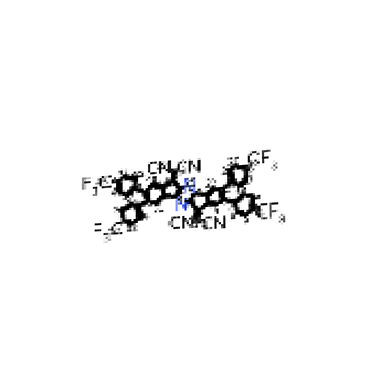 [C-]#[N+]/C(C#N)=C1/c2cc(-c3ccc(C(F)(F)F)cc3)c(-c3ccc(C(F)(F)F)cc3)cc2-c2nc3c(nc21)-c1cc(-c2ccc(C(F)(F)F)cc2)c(-c2ccc(C(F)(F)F)cc2)cc1/C3=C(/C#N)[N+]#[C-]